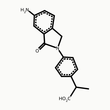 CC(C(=O)O)c1ccc(N2Cc3ccc(N)cc3C2=O)cc1